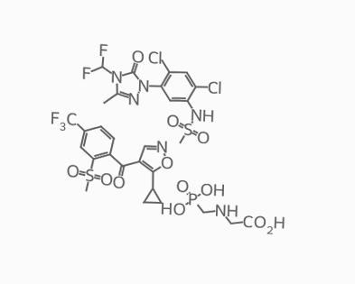 CS(=O)(=O)c1cc(C(F)(F)F)ccc1C(=O)c1cnoc1C1CC1.Cc1nn(-c2cc(NS(C)(=O)=O)c(Cl)cc2Cl)c(=O)n1C(F)F.O=C(O)CNCP(=O)(O)O